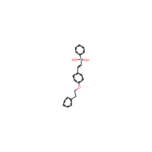 O[Si](O)(/C=C/c1ccc(OCCc2ccccc2)cc1)c1ccccc1